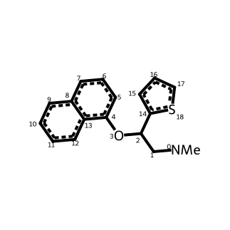 CNCC(Oc1cccc2ccccc12)c1cccs1